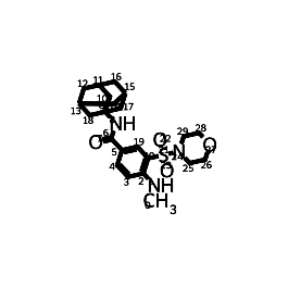 CNc1ccc(C(=O)NC23CC4CC(CC(C4)C2)C3)cc1S(=O)(=O)N1CCOCC1